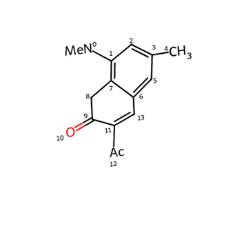 CNc1cc(C)cc2c1CC(=O)C(C(C)=O)=C2